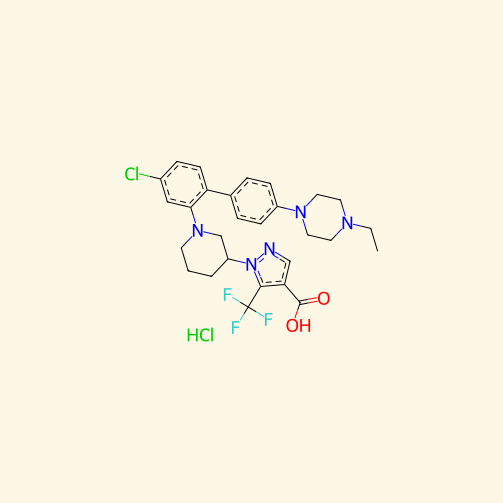 CCN1CCN(c2ccc(-c3ccc(Cl)cc3N3CCCC(n4ncc(C(=O)O)c4C(F)(F)F)C3)cc2)CC1.Cl